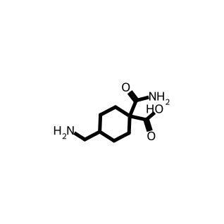 NCC1CCC(C(N)=O)(C(=O)O)CC1